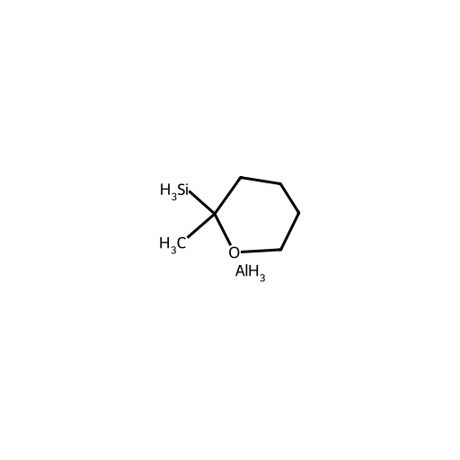 CC1([SiH3])CCCCO1.[AlH3]